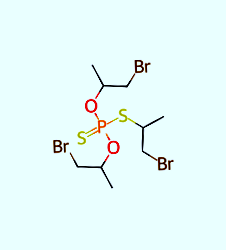 CC(CBr)OP(=S)(OC(C)CBr)SC(C)CBr